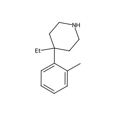 CCC1(c2ccccc2C)CCNCC1